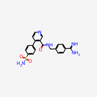 N=C(N)c1ccc(CNC(=O)c2cnccc2-c2ccc(S(N)(=O)=O)cc2)cc1